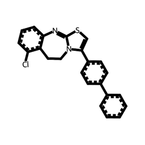 Clc1cccc2c1CCN1C(c3ccc(-c4ccccc4)cc3)=CSC1=N2